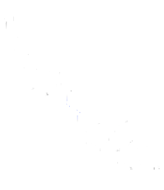 C=CCCCCc1ccc(C=NN=Cc2ccc(-c3ccc(CCCC)cc3)c(F)c2)cc1